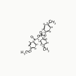 COc1ccc(C(=O)COP(=O)(Oc2ccc(C)cc2)c2ccc(C)cc2)cc1